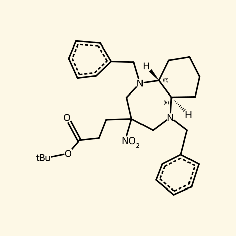 CC(C)(C)OC(=O)CCC1([N+](=O)[O-])CN(Cc2ccccc2)[C@@H]2CCCC[C@H]2N(Cc2ccccc2)C1